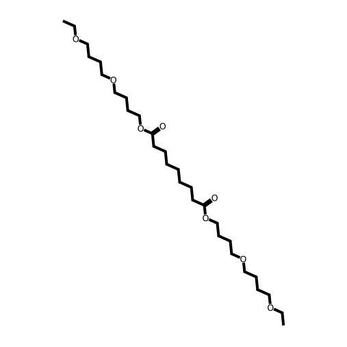 CCOCCCCOCCCCOC(=O)CCCCCCCC(=O)OCCCCOCCCCOCC